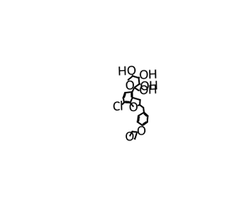 OCC1(c2ccc(Cl)c3c2CC(Cc2ccc(OC4COC4)cc2)O3)OCC(O)C(O)C1O